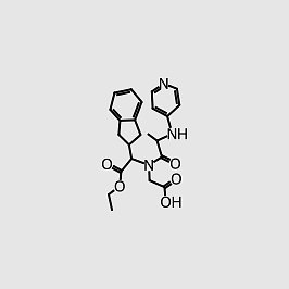 CCOC(=O)C(C1Cc2ccccc2C1)N(CC(=O)O)C(=O)C(C)Nc1ccncc1